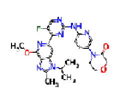 COc1nc(-c2nc(Nc3ccc(N4CCOCC4=O)cn3)ncc2F)cc2c1nc(C)n2C(C)C